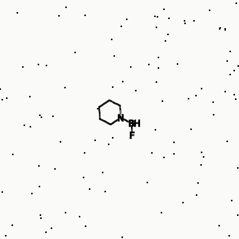 FBN1CCCCC1